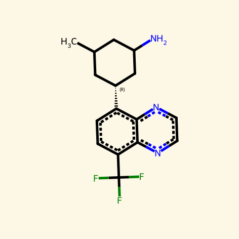 CC1CC(N)C[C@H](c2ccc(C(F)(F)F)c3nccnc23)C1